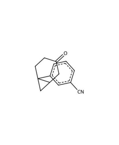 N#Cc1cccc(C23CCC(=O)CC2C3)c1